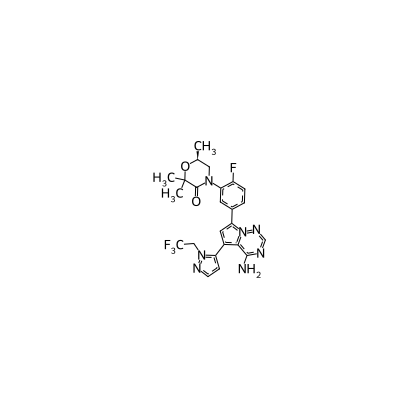 C[C@H]1CN(c2cc(-c3cc(-c4ccnn4CC(F)(F)F)c4c(N)ncnn34)ccc2F)C(=O)C(C)(C)O1